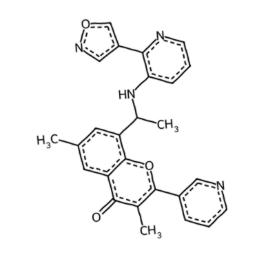 Cc1cc(C(C)Nc2cccnc2-c2cnoc2)c2oc(-c3cccnc3)c(C)c(=O)c2c1